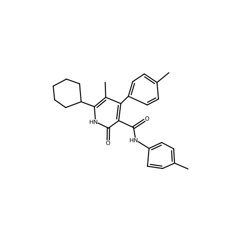 Cc1ccc(NC(=O)c2c(-c3ccc(C)cc3)c(C)c(C3CCCCC3)[nH]c2=O)cc1